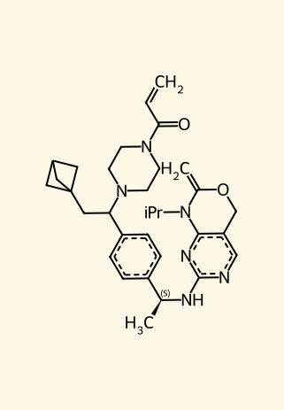 C=CC(=O)N1CCN(C(CC23CC(C2)C3)c2ccc([C@H](C)Nc3ncc4c(n3)N(C(C)C)C(=C)OC4)cc2)CC1